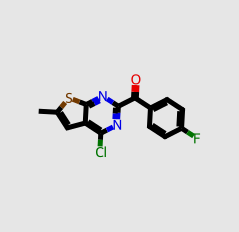 Cc1cc2c(Cl)nc(C(=O)c3ccc(F)cc3)nc2s1